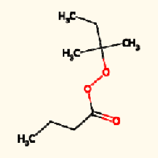 CCCC(=O)OOC(C)(C)CC